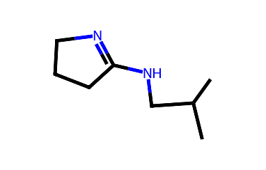 CC(C)CNC1=NCCC1